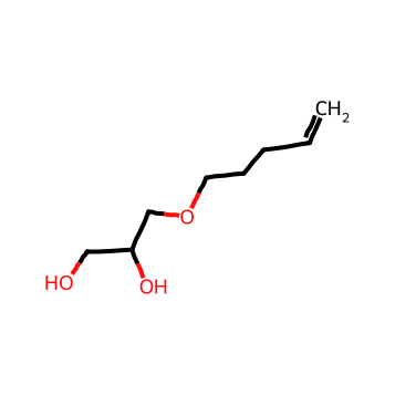 C=CCCCOCC(O)CO